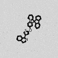 c1ccc(C2(c3cccc(Oc4cc(-c5nccc6ccccc56)cs4)c3)c3ccccc3-c3ccccc32)nc1